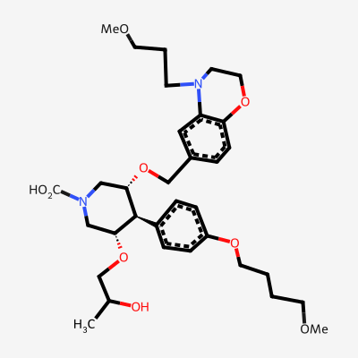 COCCCCOc1ccc([C@@H]2[C@@H](OCc3ccc4c(c3)N(CCCOC)CCO4)CN(C(=O)O)C[C@H]2OCC(C)O)cc1